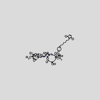 CC[C@H](O)[C@@H](C)[C@@H]1O[C@H]1C[C@@](C)(O)/C=C/C=C(\C)[C@H]1OC(=O)C[C@H](O)CC[C@@](C)(OC)C(OC(=O)N2CCN(CCCCCCN3C(=O)C=CC3=O)CC2)/C=C/[C@@H]1C